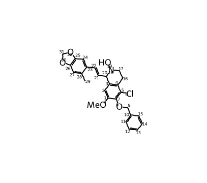 COc1cc2c(c(Cl)c1OCc1ccccc1)CCN(O)C2/C=C/c1cc2c(cc1C)OCO2